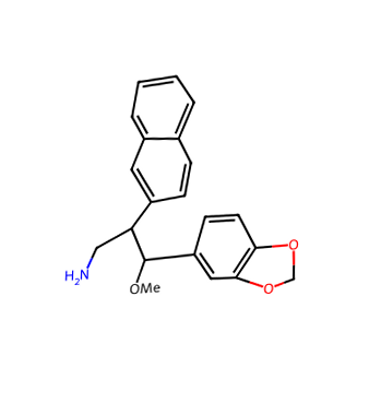 COC(c1ccc2c(c1)OCO2)C(CN)c1ccc2ccccc2c1